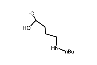 CCCCNCCCC([O])O